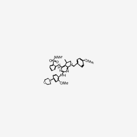 CNS(=O)(=O)c1ccccc1Nc1nc(Nc2ccc(N3CCOCC3)cc2OC)nc2c1C(C)CN2Cc1ccc(OC)cc1